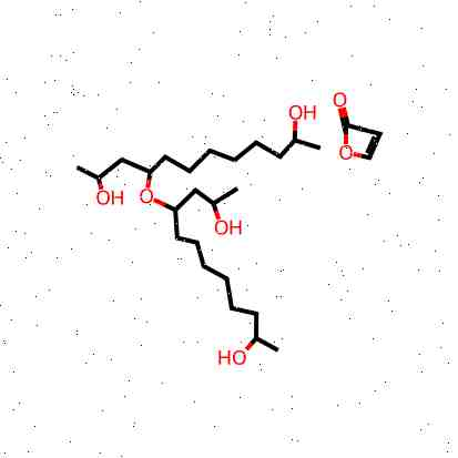 CC(O)CCCCCCC(CC(C)O)OC(CCCCCCC(C)O)CC(C)O.O=C1C=CO1